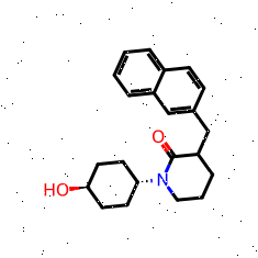 O=C1C(Cc2ccc3ccccc3c2)CCCN1[C@H]1CC[C@H](O)CC1